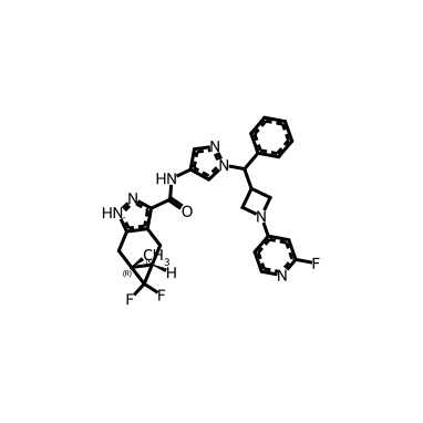 C[C@@]12Cc3[nH]nc(C(=O)Nc4cnn(C(c5ccccc5)C5CN(c6ccnc(F)c6)C5)c4)c3C[C@@H]1C2(F)F